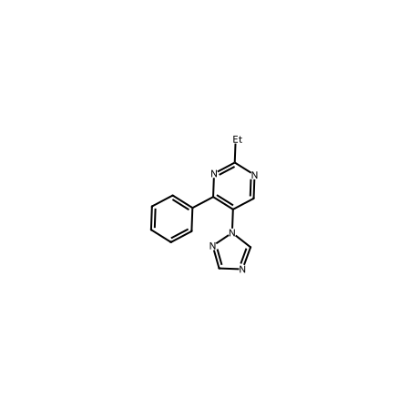 CCc1ncc(-n2cncn2)c(-c2ccccc2)n1